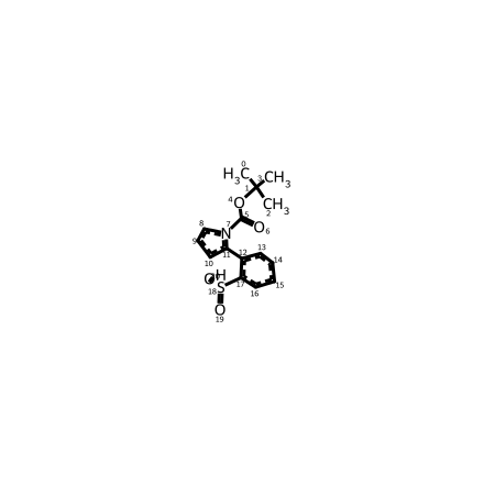 CC(C)(C)OC(=O)n1cccc1-c1ccccc1[SH](=O)=O